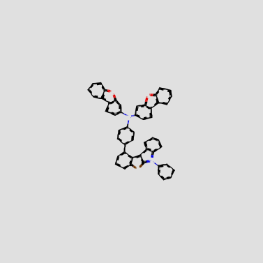 c1ccc(-n2c3ccccc3c3c4c(-c5ccc(N(c6ccc7c(c6)oc6ccccc67)c6ccc7c(c6)oc6ccccc67)cc5)cccc4sc32)cc1